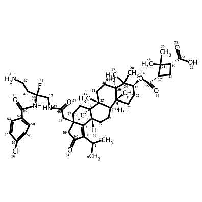 CC(C)C1=C2[C@H]3CC[C@@H]4[C@@]5(C)CC[C@H](OC(=O)[C@H]6C[C@@H](C(=O)O)C6(C)C)C(C)(C)[C@@H]5CC[C@@]4(C)[C@]3(C)CC[C@@]2(CC(=O)NCC(F)(CCN)NC(=O)c2ccc(Cl)cc2)CC1=O